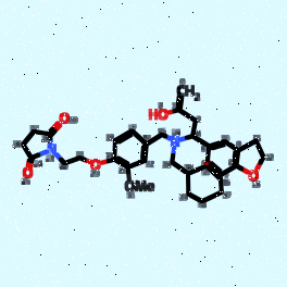 C=C(O)CC(c1ccc2c(c1)CCO2)N(Cc1ccc(OCCN2C(=O)CCC2=O)c(OC)c1)CC1CCCCC1